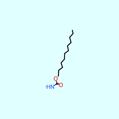 CCCCCCCCCCCCOC([NH])=O